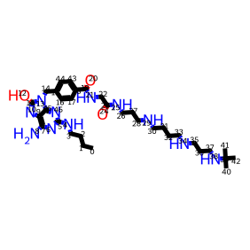 CCCCNc1nc(N)c2nc(O)n(Cc3ccc(C(=O)NCC(=O)NCCCNCCCCNCCCNC(C)(C)C)cc3)c2n1